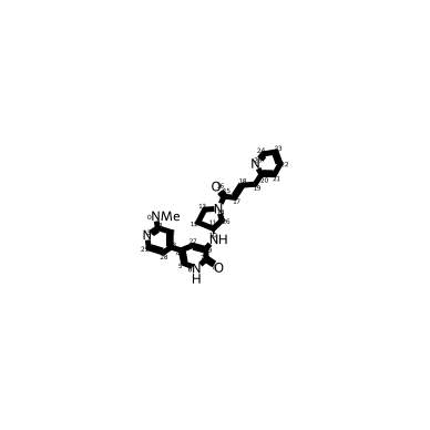 CNc1cc(-c2c[nH]c(=O)c(N[C@@H]3CCN(C(=O)C=CCc4ccccn4)C3)c2)ccn1